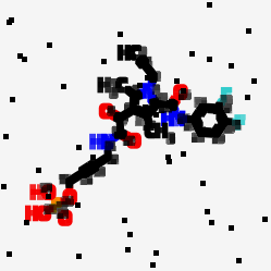 C#CCn1c(C)c(C(=O)C(=O)NCC#CCOP(=O)(O)O)c(C)c1C(=O)Nc1ccc(F)c(F)c1